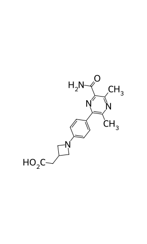 Cc1nc(C)c(-c2ccc(N3CC(CC(=O)O)C3)cc2)nc1C(N)=O